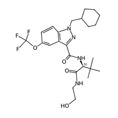 CC(C)(C)[C@H](NC(=O)c1nn(CC2CCCCC2)c2ccc(OC(F)(F)F)cc12)C(=O)NCCO